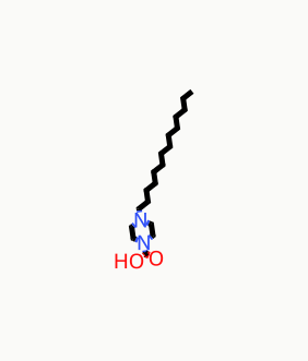 CCCCCCCCCCCCCCN1CCN(C(=O)O)CC1